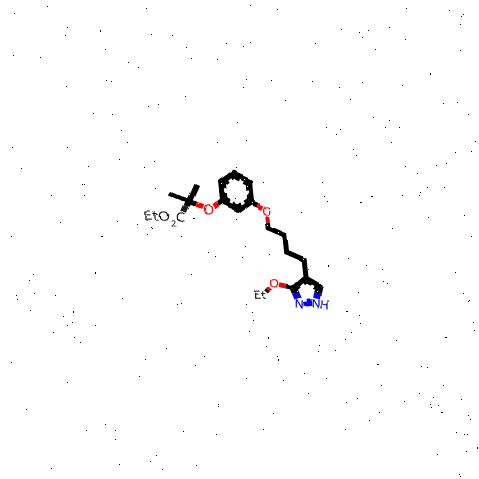 CCOC(=O)C(C)(C)Oc1cccc(OCCCCc2c[nH]nc2OCC)c1